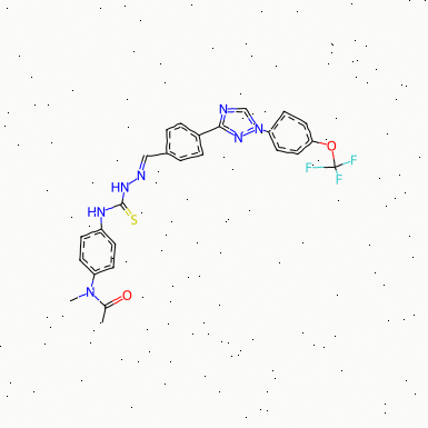 CC(=O)N(C)c1ccc(NC(=S)N/N=C/c2ccc(-c3ncn(-c4ccc(OC(F)(F)F)cc4)n3)cc2)cc1